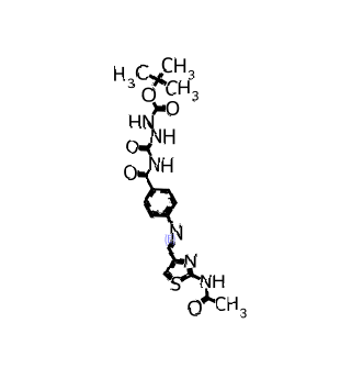 CC(=O)Nc1nc(/C=N/c2ccc(C(=O)NC(=O)NNC(=O)OC(C)(C)C)cc2)cs1